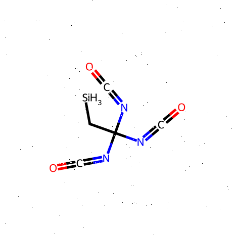 O=C=NC(C[SiH3])(N=C=O)N=C=O